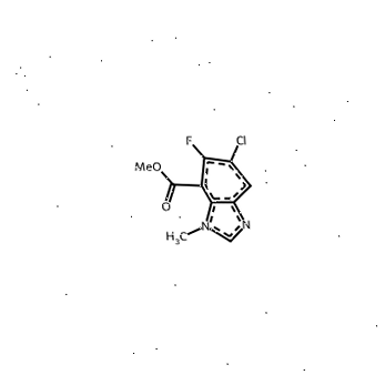 COC(=O)c1c(F)c(Cl)cc2ncn(C)c12